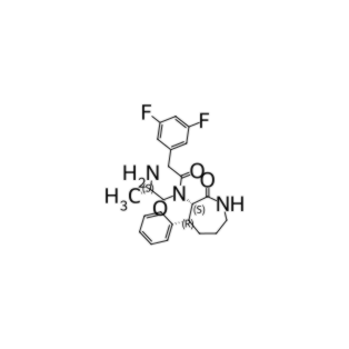 C[C@H](N)C(=O)N(C(=O)Cc1cc(F)cc(F)c1)[C@@H]1C(=O)NCCC[C@@H]1c1ccccc1